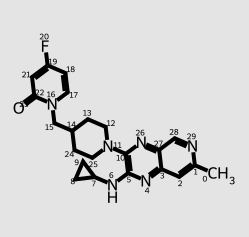 Cc1cc2nc(NC3CC3)c(N3CCC(Cn4ccc(F)cc4=O)CC3)nc2cn1